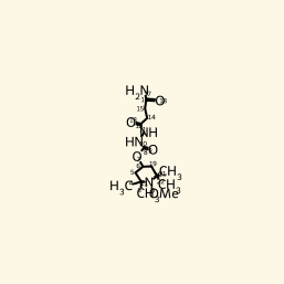 CON1C(C)(C)CC(OC(=O)NNC(=O)CCC(N)=O)CC1(C)C